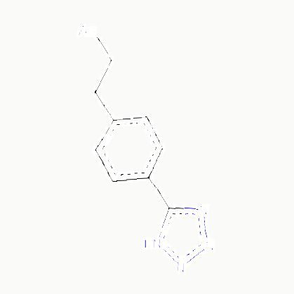 CC(=O)CCc1ccc(-c2nnn[nH]2)cc1